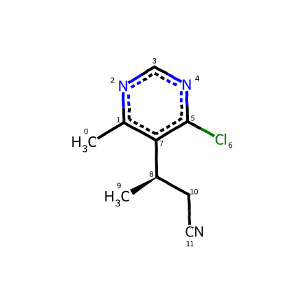 Cc1ncnc(Cl)c1[C@H](C)CC#N